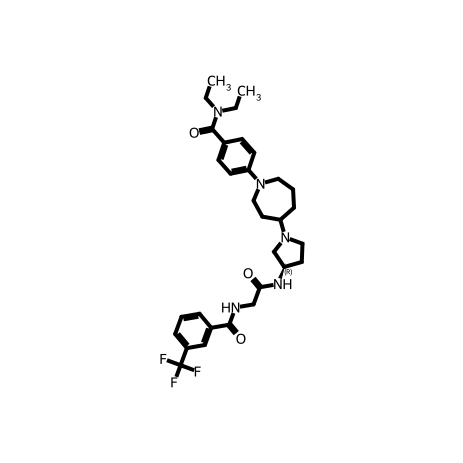 CCN(CC)C(=O)c1ccc(N2CCCC(N3CC[C@@H](NC(=O)CNC(=O)c4cccc(C(F)(F)F)c4)C3)CC2)cc1